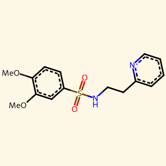 COc1ccc(S(=O)(=O)NCCc2ccccn2)cc1OC